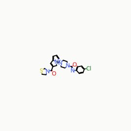 O=C(C1=CC2=CC=C[N@@+]2(N2CCN(c3nc4ccc(Cl)cc4o3)CC2)C1)N1CCSC1